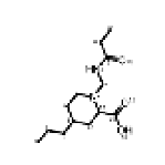 CCCC1CCN(CNC(=O)CC)C(C(=O)O)C1